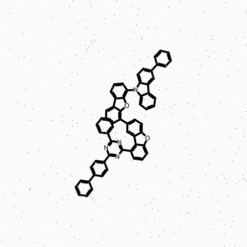 c1ccc(-c2ccc(-c3nc(-c4ccccc4)nc(-c4cccc5oc6ccc(-c7cccc8c7oc7c(-n9c%10ccccc%10c%10cc(-c%11ccccc%11)ccc%109)cccc78)cc6c45)n3)cc2)cc1